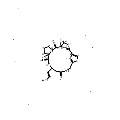 CCC/C=C/C1CC(=O)NCc2nc(cs2)C2=N[C@@](C)(CS2)C(=O)N2CCC[C@H]2C(=O)O1